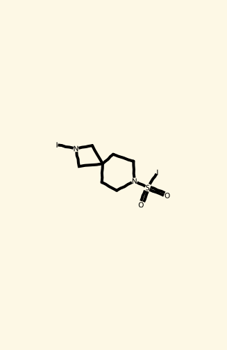 O=S(=O)(I)N1CCC2(CC1)CN(I)C2